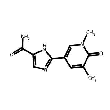 Cc1cc(-c2ncc(C(N)=O)[nH]2)cn(C)c1=O